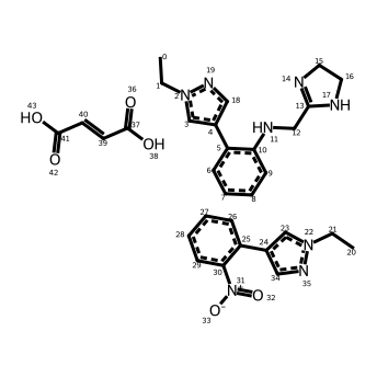 CCn1cc(-c2ccccc2NCC2=NCCN2)cn1.CCn1cc(-c2ccccc2[N+](=O)[O-])cn1.O=C(O)/C=C/C(=O)O